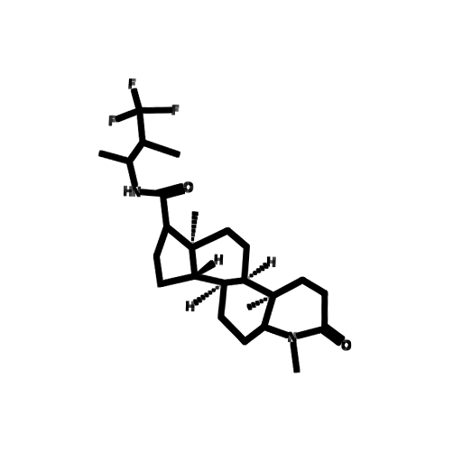 CC(NC(=O)C1CC[C@H]2[C@@H]3CCC4N(C)C(=O)CC[C@]4(C)[C@@H]3CC[C@]12C)C(C)C(F)(F)F